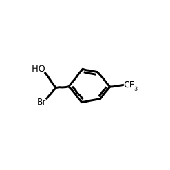 OC(Br)c1ccc(C(F)(F)F)cc1